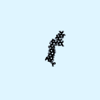 C=C(C)[C@@H]1CC[C@]2(COC(C)=O)CC[C@]3(C)C(CCC4[C@@]5(C)CC[C@H](NC(=O)[C@H](C)[C@@H](OC)C6CCCN6C(=O)C[C@@H](OC)[C@H]([C@@H](C)CC)N(C)C(=O)[C@@H](NC(=O)[C@H](C(C)C)N(C)C)C(C)C)C(C)(C)[C@]5(C)CC[C@]43C)[C@@H]12